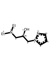 CCN(CC)C[C@@H](O)Cn1cc[c]n1